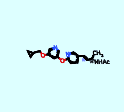 CC(=O)N[C@@H](C)/C=C/c1ccc(Oc2cncc(OCC3CC3)c2)nc1